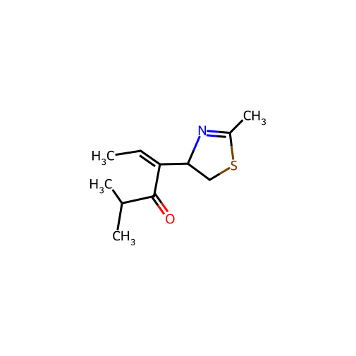 C/C=C(\C(=O)C(C)C)C1CSC(C)=N1